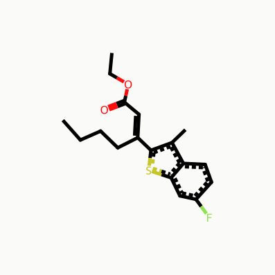 CCCCC(=CC(=O)OCC)c1sc2cc(F)ccc2c1C